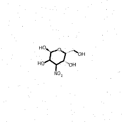 O=[N+]([O-])C1C(O)[C@@H](O)O[C@H](CO)[C@@H]1O